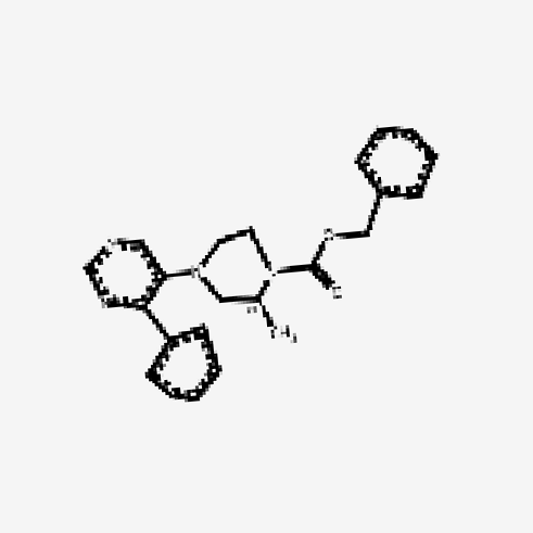 C[C@H]1CN(c2cncnc2-c2ccccc2)CCN1C(=O)OCc1ccccc1